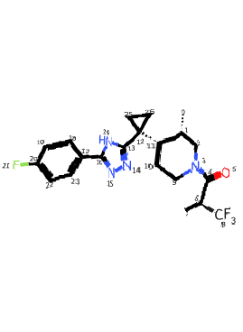 C[C@@H]1CN(C(=O)[C@H](C)C(F)(F)F)CC[C@@H]1C1(c2nnc(-c3ccc(F)cc3)[nH]2)CC1